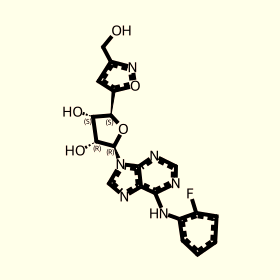 OCc1cc([C@H]2O[C@@H](n3cnc4c(Nc5ccccc5F)ncnc43)[C@H](O)[C@@H]2O)on1